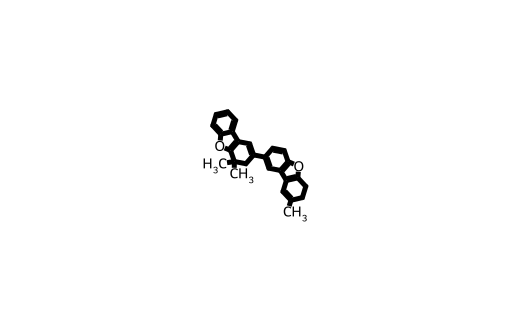 CC1=Cc2c(oc3ccc(C4=Cc5c(oc6ccccc56)C(C)(C)C4)cc23)CC1